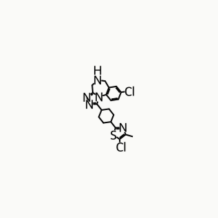 Cc1nc(C2CCC(c3nnc4n3-c3ccc(Cl)cc3CNC4)CC2)sc1Cl